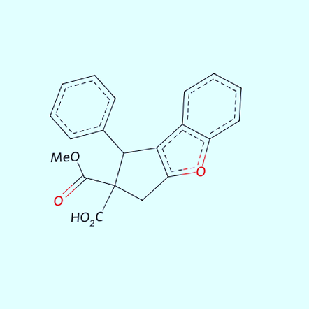 COC(=O)C1(C(=O)O)Cc2oc3ccccc3c2C1c1ccccc1